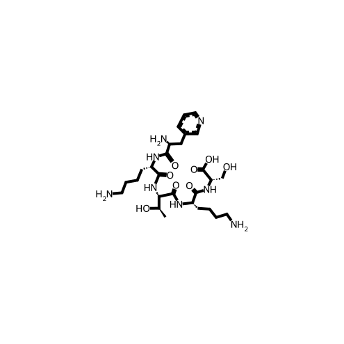 C[C@@H](O)[C@H](NC(=O)[C@H](CCCCN)NC(=O)[C@@H](N)Cc1cccnc1)C(=O)N[C@@H](CCCCN)C(=O)N[C@@H](CO)C(=O)O